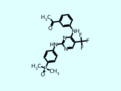 CC(=O)c1cccc(Nc2nc(Nc3ccc(P(C)(C)=O)cc3)ncc2C(F)(F)F)c1